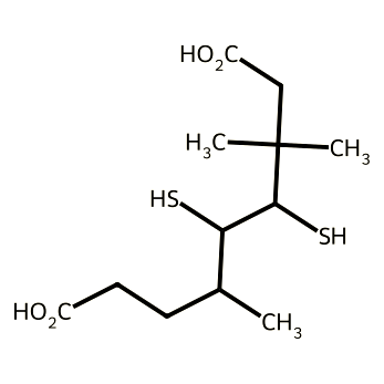 CC(CCC(=O)O)C(S)C(S)C(C)(C)CC(=O)O